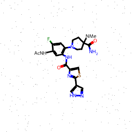 CNC1(C(N)=O)CCN(c2cc(F)c(NC(C)=O)cc2NC(=O)c2csc(-c3cn[nH]c3)n2)CC1